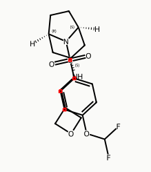 O=S(=O)(c1ccc(OC(F)F)cc1)N1[C@@H]2CC[C@H]1C[C@H](NCC1COC1)C2